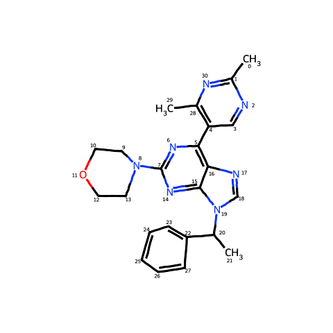 Cc1ncc(-c2nc(N3CCOCC3)nc3c2ncn3C(C)c2ccccc2)c(C)n1